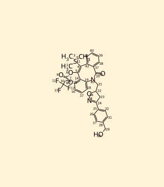 C[Si](C)(C)C1=C(OS(=O)(=O)C(F)(F)F)c2ccccc2N(CC2CC(c3ccc(CO)cc3)=NO2)C(=O)c2ccccc21